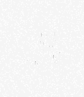 O=C=Nc1ccc(OC(Br)(SF)SF)c([N+](=O)[O-])c1